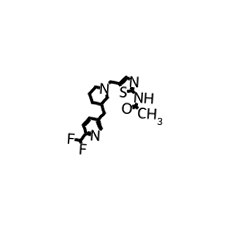 CC(=O)Nc1ncc(CN2CCCC(Cc3ccc(C(F)F)nc3)C2)s1